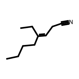 CCCC/C(=C/CC#N)CC